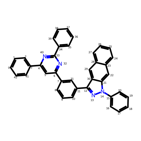 c1ccc(-c2cc(-c3cccc(-c4nn(-c5ccccc5)c5cc6ccccc6cc45)c3)nc(-c3ccccc3)n2)cc1